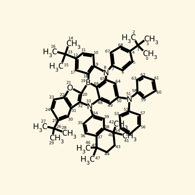 CC(C)(C)c1ccc(N2c3ccc(C(C)(C)C)cc3B3c4oc5ccc(C(C)(C)C)cc5c4N(c4ccc5c(c4)C(C)(C)CCC5(C)C)c4cc(N(c5ccccc5)c5ccccc5)cc2c43)cc1